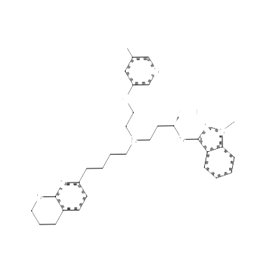 Cn1nc(N[C@@H](CCN(CCCCc2ccc3c(n2)NCCC3)CCOc2cncc(F)c2)C(=O)O)c2ccccc21